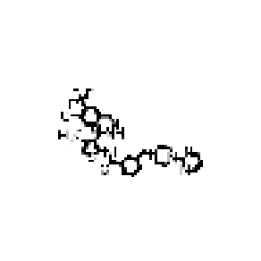 Cc1csc(NC(=O)c2cccc(CN3CCN(c4ncccn4)CC3)c2)c1C(=O)N/N=C\c1ccc(Cl)c(C(F)(F)F)c1